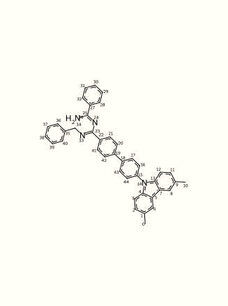 Cc1ccc2c(c1)c1cc(C)ccc1n2-c1ccc(-c2ccc(C(/N=C(\N)c3ccccc3)=N/Cc3ccccc3)cc2)cc1